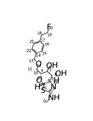 CNC1=N[C@@H]2[C@@H](O)[C@H](O)[C@@H]([C@H](C)OCc3ccc(CCF)cc3)O[C@@H]2S1